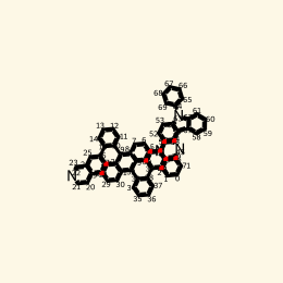 c1ccc(N(c2ccc3c(-c4ccccc4-c4ccc5ccncc5c4)c4ccccc4c(-c4ccccc4-c4ccc5ccncc5c4)c3c2)c2ccc3c(c2)c2ccccc2n3-c2ccccc2)cc1